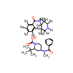 CN(C(=O)c1ccccc1)C1CCN(C(=O)O)C(C(C)(C)C)C1.[2H]c1c([2H])c([2H])c(C(=O)N(C)C2([2H])C([2H])([2H])C([2H])N([2H])C([2H])([2H])C2([2H])[2H])c([2H])c1[2H]